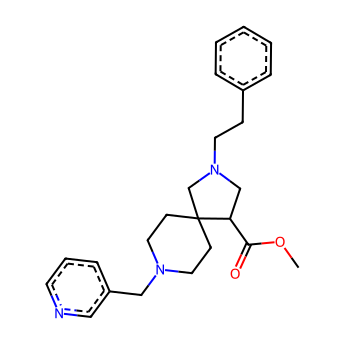 COC(=O)C1CN(CCc2ccccc2)CC12CCN(Cc1cccnc1)CC2